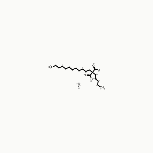 CCCCCCCCCCCCC(CCCCC)(C(=O)[O-])C(=O)[O-].[K+].[K+]